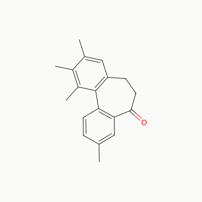 Cc1ccc2c(c1)C(=O)CCc1cc(C)c(C)c(C)c1-2